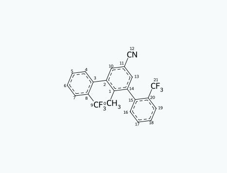 Cc1c(-c2ccccc2C(F)(F)F)cc(C#N)cc1-c1ccccc1C(F)(F)F